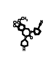 COc1cc2c(cc1OC)CN(C1CCNCC1)C(=O)N(c1cccc(C#N)c1)C2